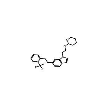 FC(F)(F)c1ccccc1CCc1ccc2ccn(CCOC3CCCCO3)c2c1